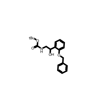 CC(C)(C)OC(=O)NCC(O)c1ccccc1OCc1ccccc1